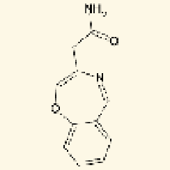 NC(=O)CC1=COc2ccccc2C=N1